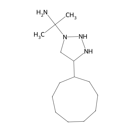 CC(C)(N)N1CC(C2CCCCCCCC2)NN1